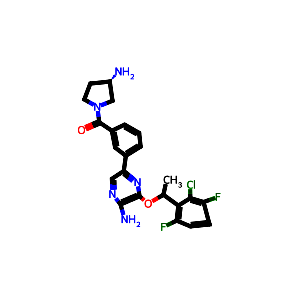 CC(Oc1nc(-c2cccc(C(=O)N3CC[C@H](N)C3)c2)cnc1N)c1c(F)ccc(F)c1Cl